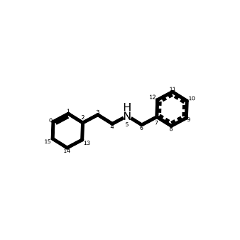 C1=CC(CCNCc2ccccc2)CCC1